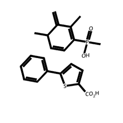 C=C1C(C)=C(P(C)(=O)O)C=CC1C.O=C(O)c1ccc(-c2ccccc2)s1